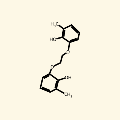 Cc1cccc(OCCOc2cccc(C)c2O)c1O